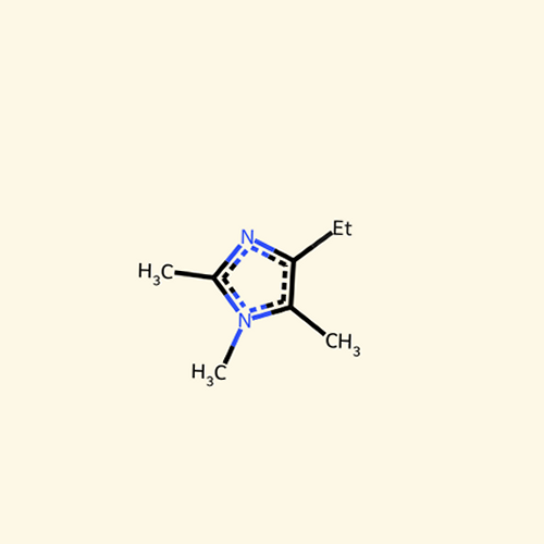 CCc1nc(C)n(C)c1C